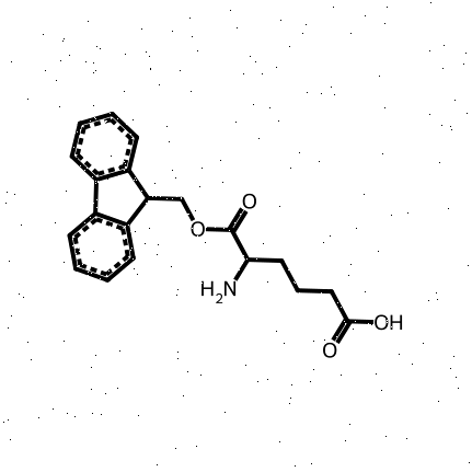 NC(CCCC(=O)O)C(=O)OCC1c2ccccc2-c2ccccc21